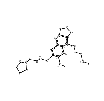 COCCNc1c2c(nc3cc(COCCN4CCCC4)c(OC)cc13)CCC2